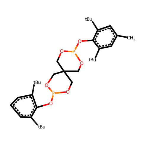 Cc1cc(C(C)(C)C)c(OP2OCC3(COP(Oc4c(C(C)(C)C)cccc4C(C)(C)C)OC3)CO2)c(C(C)(C)C)c1